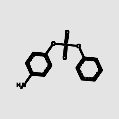 Nc1ccc(OS(=O)(=O)Oc2ccccc2)cc1